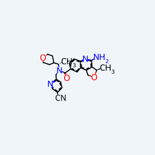 C[C@H]1OCc2c1c(N)nc1ccc(C(=O)N(Cc3ccc(C#N)cn3)[C@@H](C)C3CCOCC3)cc21